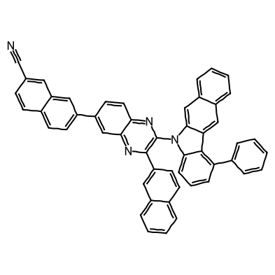 N#Cc1ccc2ccc(-c3ccc4nc(-n5c6cc7ccccc7cc6c6c(-c7ccccc7)cccc65)c(-c5ccc6ccccc6c5)nc4c3)cc2c1